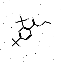 CCOC(=O)c1ccc(C(F)(F)F)nc1C(F)(F)F